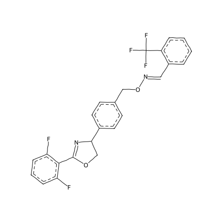 Fc1cccc(F)c1C1=NC(c2ccc(CO/N=C/c3ccccc3C(F)(F)F)cc2)CO1